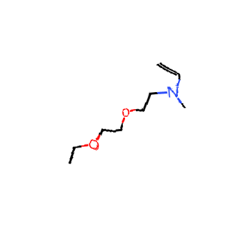 C=CN(C)CCOCCOCC